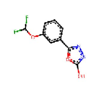 Oc1nnc(-c2cccc(OC(F)F)c2)o1